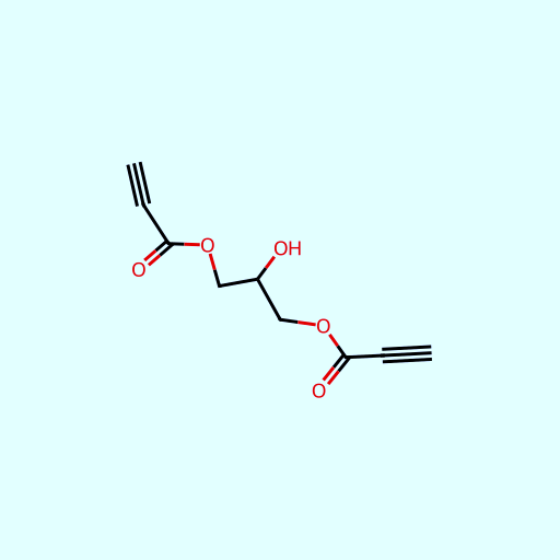 C#CC(=O)OCC(O)COC(=O)C#C